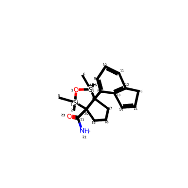 C[Si]1(C)O[Si](C)(C)C2(c3cccc4c3C=CC4)CCCC21C([NH])=O